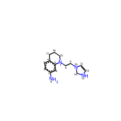 Nc1ccc2c(c1)N(CCN1C=CNC1)CCC2